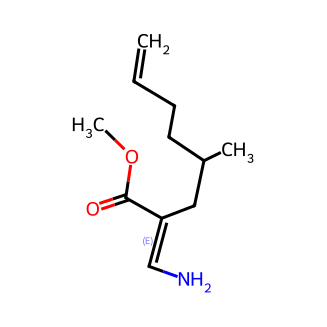 C=CCCC(C)C/C(=C\N)C(=O)OC